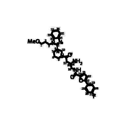 COCCCn1c([C@@H]2CCCN(C(=O)C[C@@H](N)CNC(=O)c3ccc(-c4ccc(F)cc4)o3)C2)nc2ccccc21